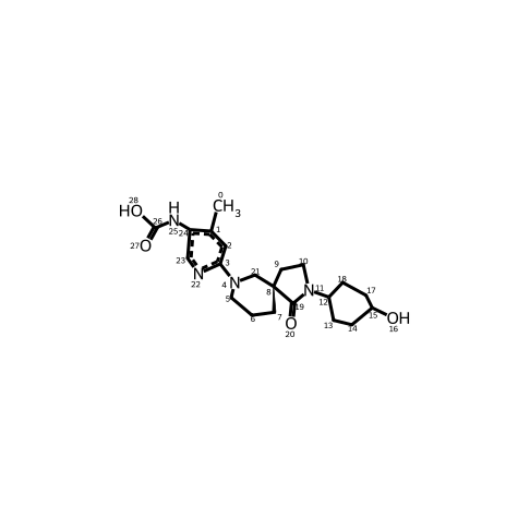 Cc1cc(N2CCC[C@]3(CCN(C4CCC(O)CC4)C3=O)C2)ncc1NC(=O)O